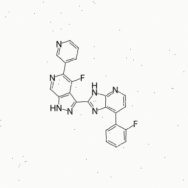 Fc1ccccc1-c1ccnc2[nH]c(-c3n[nH]c4cnc(-c5cccnc5)c(F)c34)nc12